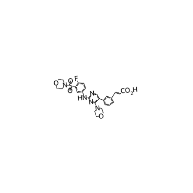 O=C(O)/C=C/c1cccc(-c2cnc(Nc3ccc(F)c(S(=O)(=O)N4CCOCC4)c3)nc2N2CCOCC2)c1